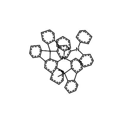 CC1(C)c2ccccc2-c2cccc(N(c3ccccc3)c3c4c(cc5ccccc35)-c3ccccc3C43c4ccccc4-c4cc(N(c5ccccc5)c5ccccc5)ccc43)c21